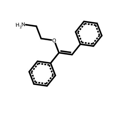 NCCOC(=Cc1ccccc1)c1ccccc1